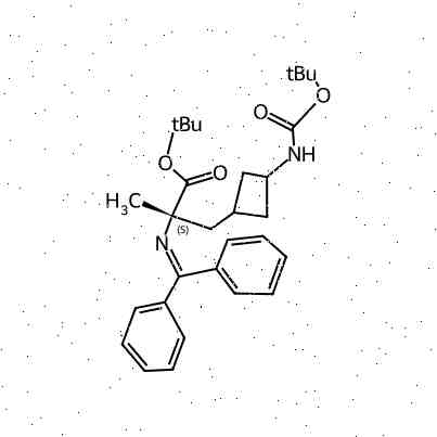 CC(C)(C)OC(=O)NC1CC(C[C@](C)(N=C(c2ccccc2)c2ccccc2)C(=O)OC(C)(C)C)C1